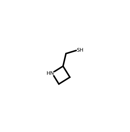 SCC1CCN1